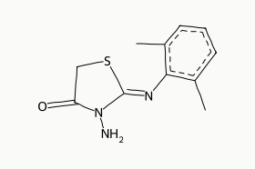 Cc1cccc(C)c1N=C1SCC(=O)N1N